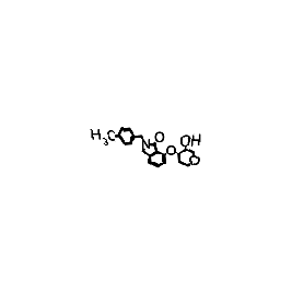 Cc1ccc(CN2Cc3cccc(O[C@@H]4CCOC[C@H]4O)c3C2=O)cc1